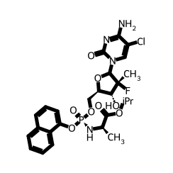 CC(C)OC(=O)[C@@H](C)N[P@@](=O)(OC[C@H]1OC(n2cc(Cl)c(N)nc2=O)[C@](C)(F)[C@@H]1O)Oc1cccc2ccccc12